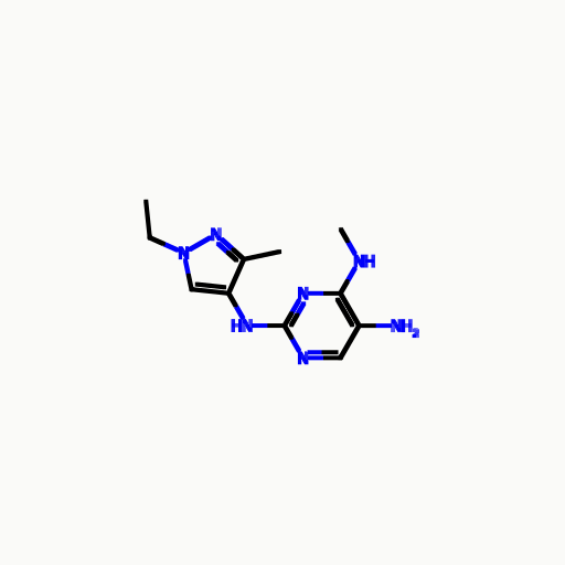 CCn1cc(Nc2ncc(N)c(NC)n2)c(C)n1